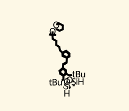 C[SiH](C)OC(c1ccc(C=Cc2cccc(CCCCCC(C)(C)OC3CCCCO3)c2)cc1C(O[SiH](C)C)C(C)(C)C)C(C)(C)C